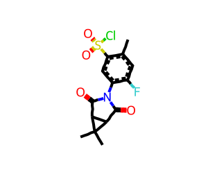 Cc1cc(F)c(N2C(=O)C3C(C2=O)C3(C)C)cc1S(=O)(=O)Cl